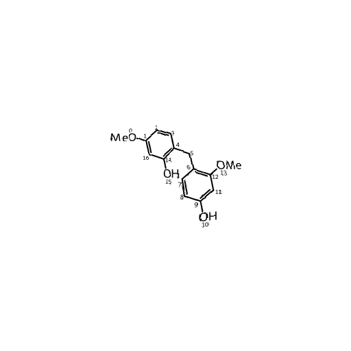 COc1ccc(Cc2ccc(O)cc2OC)c(O)c1